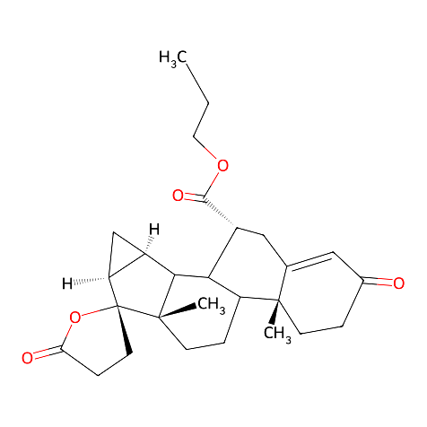 CCCOC(=O)[C@@H]1CC2=CC(=O)CC[C@]2(C)C2CC[C@@]3(C)C(C21)[C@@H]1C[C@@H]1[C@]31CCC(=O)O1